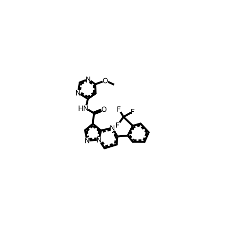 COc1cc(NC(=O)c2cnn3ccc(-c4ccccc4C(F)(F)F)nc23)ncn1